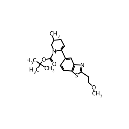 COCCc1nc2cc(C3=CCC(C)CN3C(=O)OC(C)(C)C)ccc2s1